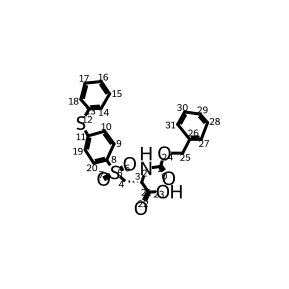 O=C(N[C@@H](CS(=O)(=O)c1ccc(Sc2ccccc2)cc1)C(=O)O)OCc1ccccc1